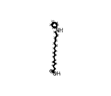 O=C(O)CCCCCCCCCCCCCCCCNc1ccccc1